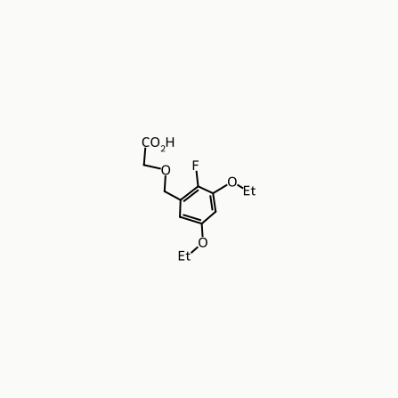 CCOc1cc(COCC(=O)O)c(F)c(OCC)c1